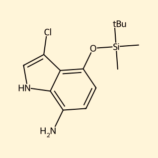 CC(C)(C)[Si](C)(C)Oc1ccc(N)c2[nH]cc(Cl)c12